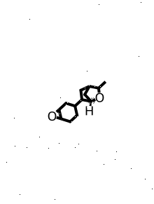 CC1O[C@H]2CC1CC2C1CCC2OC2C1